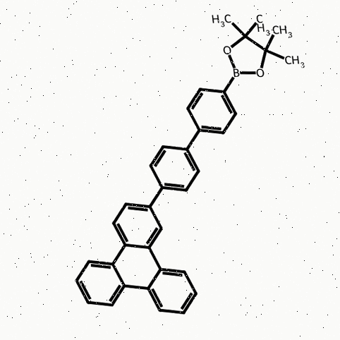 CC1(C)OB(c2ccc(-c3ccc(-c4ccc5c6ccccc6c6ccccc6c5c4)cc3)cc2)OC1(C)C